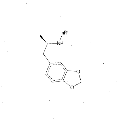 CCCN[C@H](C)Cc1ccc2c(c1)OCO2